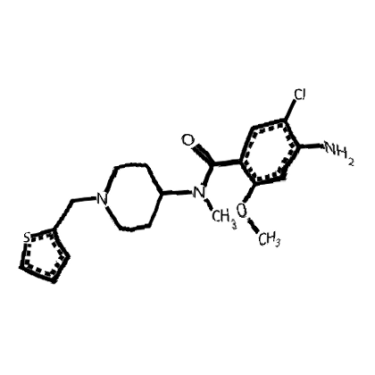 COc1cc(N)c(Cl)cc1C(=O)N(C)C1CCN(Cc2cccs2)CC1